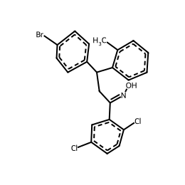 Cc1ccccc1C(C/C(=N\O)c1cc(Cl)ccc1Cl)c1ccc(Br)cc1